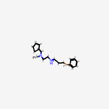 CC(C)N(CCNCCCSc1ccccc1)CC1CCCC1